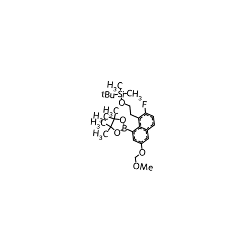 COCOc1cc(B2OC(C)(C)C(C)(C)O2)c2c(CCO[Si](C)(C)C(C)(C)C)c(F)ccc2c1